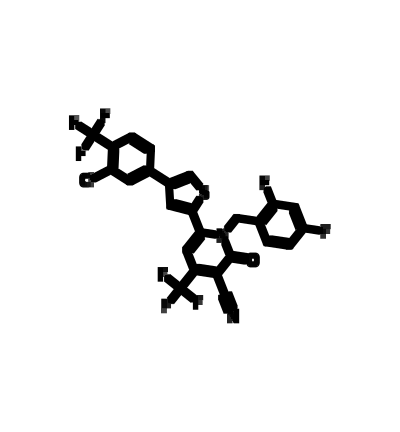 N#Cc1c(C(F)(F)F)cc(-c2cc(-c3ccc(C(F)(F)F)c(Cl)c3)cs2)n(Cc2ccc(F)cc2F)c1=O